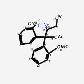 COc1ccccc1C(OC(C)=O)(c1ccccc1OC)[C@@H](N)CC(C)C